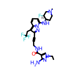 CCn1cc(C(=O)NCC#Cc2nn3c(N[C@@H]4CCN(C)C[C@@H]4F)cccc3c2CC(F)(F)F)c(N)n1